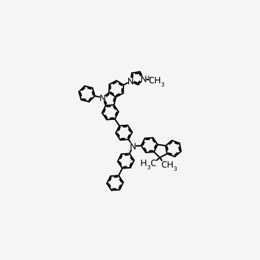 C[n+]1ccn(-c2ccc3c(c2)c2cc(-c4ccc(N(c5ccc(-c6ccccc6)cc5)c5ccc6c(c5)C(C)(C)c5ccccc5-6)cc4)ccc2n3-c2ccccc2)c1